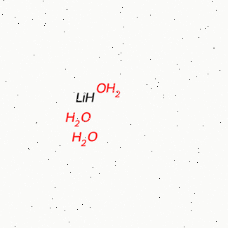 O.O.O.[LiH]